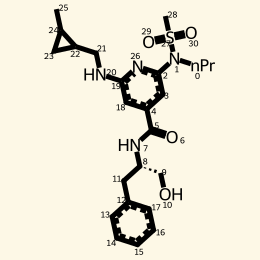 CCCN(c1cc(C(=O)N[C@H](CO)Cc2ccccc2)cc(NCC2CC2C)n1)S(C)(=O)=O